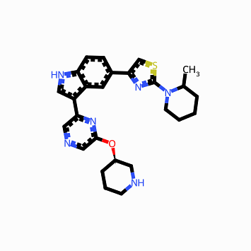 CC1CCCCN1c1nc(-c2ccc3[nH]cc(-c4cncc(O[C@@H]5CCCNC5)n4)c3c2)cs1